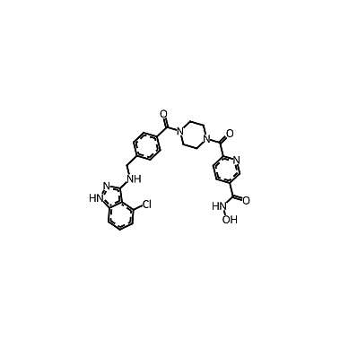 O=C(NO)c1ccc(C(=O)N2CCN(C(=O)c3ccc(CNc4n[nH]c5cccc(Cl)c45)cc3)CC2)nc1